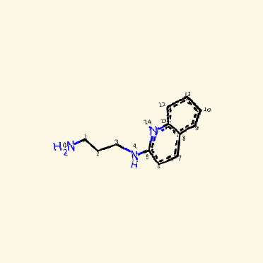 NCCCNc1ccc2ccccc2n1